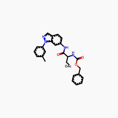 CC(=O)OCC(NC(=O)OCc1ccccc1)C(=O)Nc1ccc2cnn(-c3cccc(C)c3)c2c1